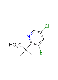 CC(C)(C(=O)O)c1ncc(Cl)cc1Br